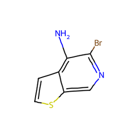 Nc1c(Br)ncc2sccc12